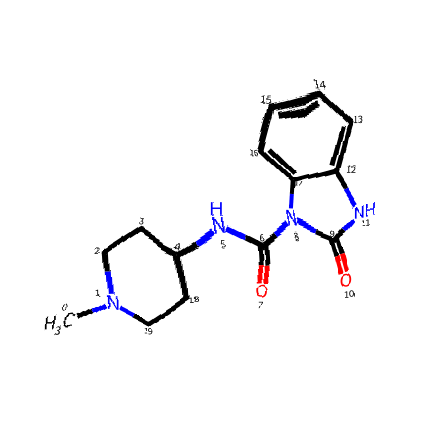 CN1CCC(NC(=O)n2c(=O)[nH]c3ccccc32)CC1